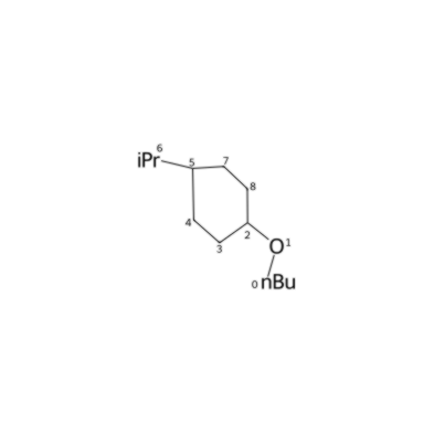 CCCCOC1CCC(C(C)C)CC1